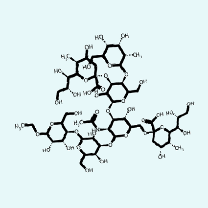 CCOC1OC(CO)[C@@H](OC2OC(CO)[C@H](O)[C@H](OC3OC(CO[C@]4(C(=O)O)C[C@@H](O)[C@@H](C)C([C@H](O)[C@H](O)CO)O4)[C@@H](O)[C@H](O[C@@H]4OC(CO)[C@H](OC5OC(CO)[C@H](O)[C@H](O)[C@@H]5C)[C@H](O[C@@]5(C(=O)O)CC(O)[C@H](C)C([C@H](O)[C@H](O)CO)O5)C4O)[C@@H]3NC(C)=O)[C@@H]2O)[C@H](O)[C@@H]1O